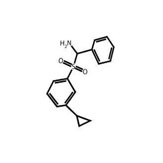 NC(c1ccccc1)S(=O)(=O)c1cccc(C2CC2)c1